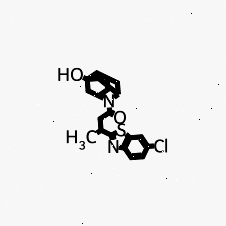 CC(CC(=O)N1C2CC3CC1CC(O)(C3)C2)c1nc2ccc(Cl)cc2s1